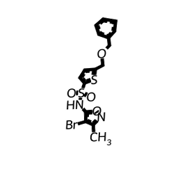 Cc1noc(NS(=O)(=O)c2ccc(COCc3ccccc3)s2)c1Br